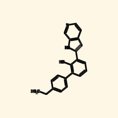 O=C(O)Cc1ccc(-c2cccc(-c3cc4ccncc4[nH]3)c2O)cc1